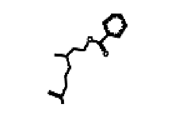 C=C(C)CCCC(C)CCOC(=O)c1ccccc1